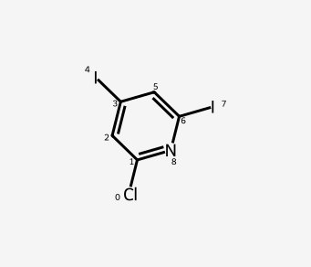 Clc1cc(I)cc(I)n1